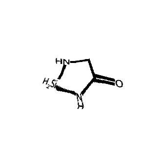 O=C1CN[SiH2]N1